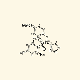 COc1ccc(CN(c2ccon2)S(=O)(=O)c2c(F)cc(F)cc2F)cc1